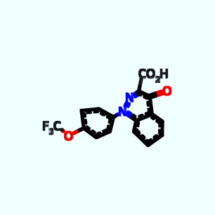 O=C(O)c1nn(-c2ccc(OC(F)(F)F)cc2)c2ccccc2c1=O